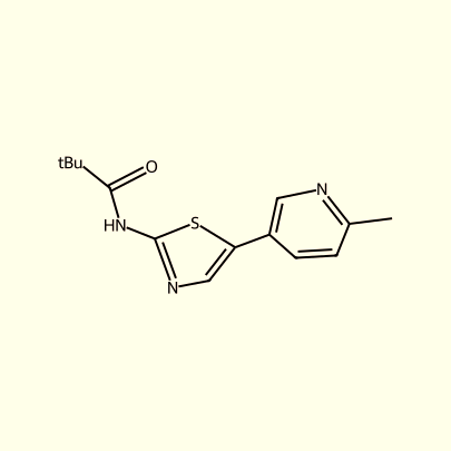 Cc1ccc(-c2cnc(NC(=O)C(C)(C)C)s2)cn1